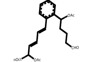 CCCCCCCCC(C=CC=Cc1ccccc1C(CCCC=O)OC(C)=O)OC(C)=O